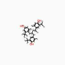 Cc1cc(O)c(C(C)(C)C)cc1CC(Cc1c(C)cc(O)cc1C(C)(C)C)CC(C)c1cc(C(C)C)c(O)cc1C